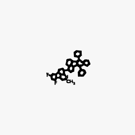 Cc1cc2c3c(ccc(-c4ccc5c6c(cccc46)-c4c-5c(-c5ccccc5)c5ccccc5c4-c4ccccc4)c3n1)-c1cc(F)cc(F)c1-2